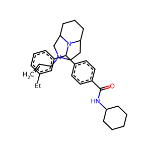 C=CCN1CCC2CCCC(C1)N2C(c1ccc(C(=O)NC2CCCCC2)cc1)c1cccc(CC)c1